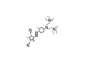 CC[N+](CC)(CC)CCN(CC[N+](CC)(CC)CC)c1ccc(/N=N/c2sc(C#N)c(C)c2C#N)c(C)c1